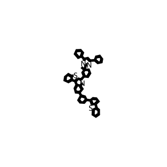 CC1(c2nc(-c3ccccc3)cc(-c3ccccc3)n2)C=C(c2nc3cc(-c4cccc(-c5cccc6c5sc5ccccc56)c4)ccc3c3c2sc2ccccc23)C=CC1